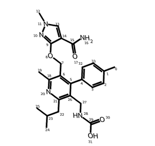 Cc1ccc(-c2c(COc3nn(C)cc3C(N)=O)c(C)nc(CC(C)C)c2CNC(=O)O)cc1